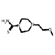 COCCN1CCN(C(N)=S)CC1